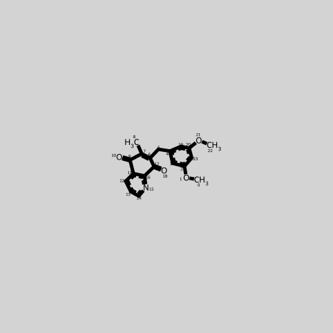 COc1cc(CC2=C(C)C(=O)c3cccnc3C2=O)cc(OC)c1